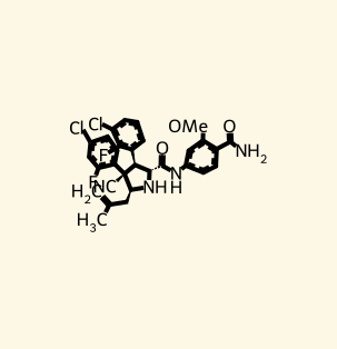 C=C(C)C[C@@H]1N[C@@H](C(=O)Nc2ccc(C(N)=O)c(OC)c2)[C@H](c2cccc(Cl)c2F)[C@@]1(C#N)c1ccc(Cl)cc1F